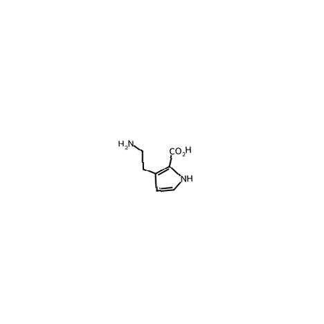 NCCc1cc[nH]c1C(=O)O